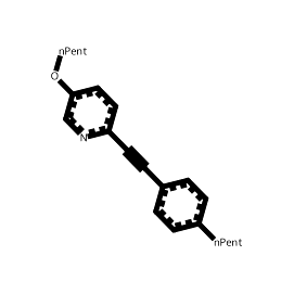 CCCCCOc1ccc(C#Cc2ccc(CCCCC)cc2)nc1